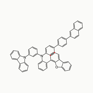 c1cc(N(c2ccc(-c3ccc(-c4ccc5ccccc5c4)cc3)cc2)c2ccccc2-c2cccc3c2oc2ccccc23)cc(-n2c3ccccc3c3ccccc32)c1